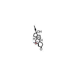 CC#CC1(O)CC[C@H]2[C@@H]3CCC4=CC(=O)CC[C@]4(CSC)[C@@H]3CC[C@@]21C